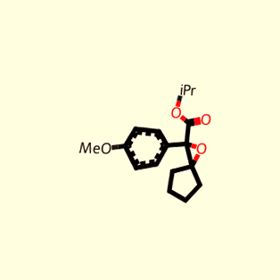 COc1ccc(C2(C(=O)OC(C)C)OC23CCCC3)cc1